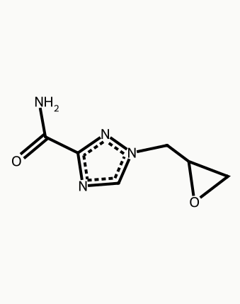 NC(=O)c1ncn(CC2CO2)n1